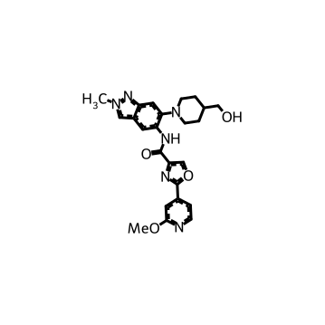 COc1cc(-c2nc(C(=O)Nc3cc4cn(C)nc4cc3N3CCC(CO)CC3)co2)ccn1